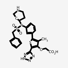 Cc1c(-c2cccc(N(C3CCNCC3)S(=O)(=O)Cc3ccccc3)c2)sc(-c2nn[nH]n2)c1OCC(=O)O